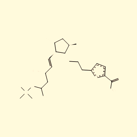 CCCC(C[C@H](O)/C=C/[C@@H]1[C@@H](CCCc2ccc(C(=O)OC)s2)[C@H](Cl)C[C@H]1C)O[Si](C)(C)C(C)(C)C